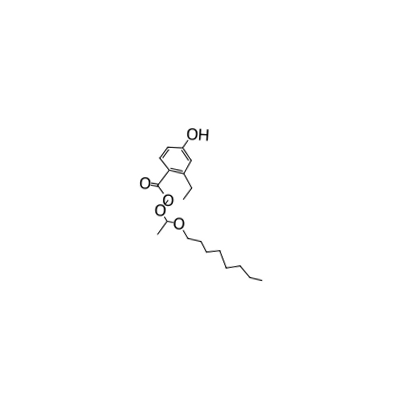 CCCCCCCCOC(C)OOC(=O)c1ccc(O)cc1CC